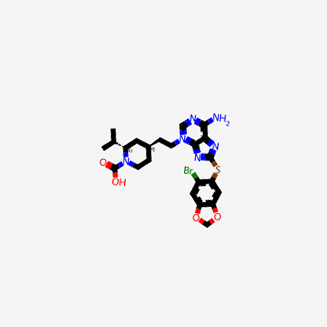 CC(C)[C@@H]1C[C@@H](CCn2cnc(N)c3nc(Sc4cc5c(cc4Br)OCO5)nc2-3)CCN1C(=O)O